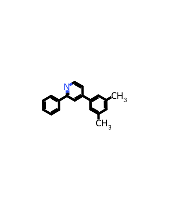 Cc1cc(C)cc(-c2ccnc(-c3ccccc3)c2)c1